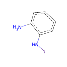 Nc1ccccc1NI